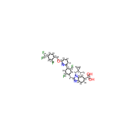 CCC1(Cn2c(Cc3cc(F)c(-c4cccc(OCc5ccc(C(F)F)cc5F)n4)cc3F)nc3ccc(C(O)O)cc32)CC1